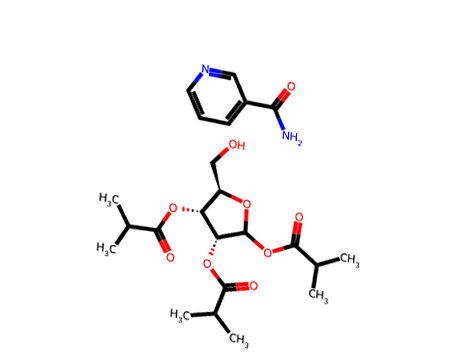 CC(C)C(=O)OC1O[C@H](CO)[C@@H](OC(=O)C(C)C)[C@H]1OC(=O)C(C)C.NC(=O)c1cccnc1